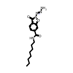 CCCCCCCCNC(=O)c1ccc2c(=O)n(/N=N/N)oc2c1